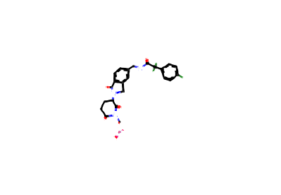 O=C1CCC(N2Cc3cc(CNC(=O)C(F)(F)c4ccc(F)cc4)ccc3C2O)C(=O)N1COP(=O)(O)O